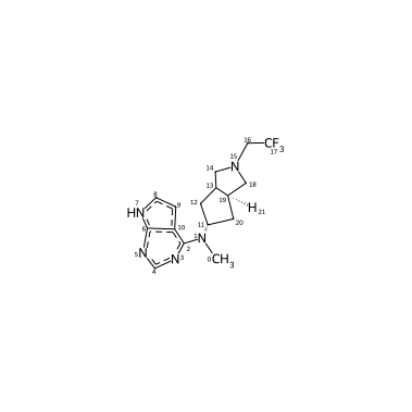 CN(c1ncnc2[nH]ccc12)[C@@H]1CC2CN(CC(F)(F)F)C[C@H]2C1